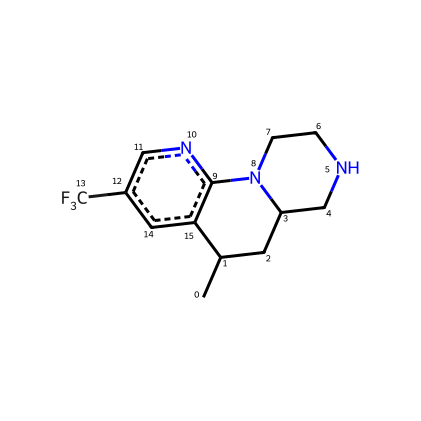 CC1CC2CNCCN2c2ncc(C(F)(F)F)cc21